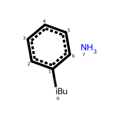 CCC(C)c1ccccc1.N